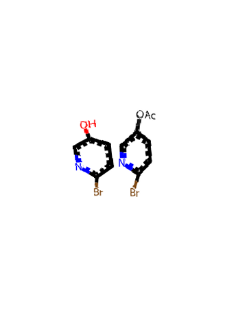 CC(=O)Oc1ccc(Br)nc1.Oc1ccc(Br)nc1